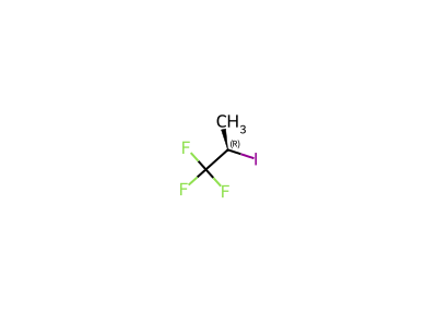 C[C@@H](I)C(F)(F)F